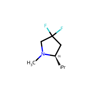 CC(C)[C@@H]1CC(F)(F)CN1C